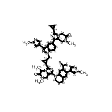 CC1C(=O)N(C)Cc2c(N3CCCc4cc(-c5cnn(C)c5)c(C(F)F)cc43)nc(C3CC3Cn3nc(-c4cnn(C)c4)c4cc(-c5nc(C6CC6)n6c5CN(C)C(=O)C6)ccc43)n21